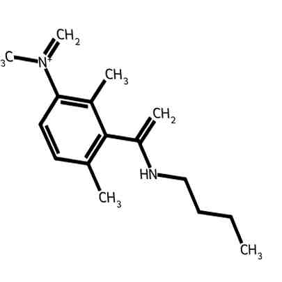 C=C(NCCCC)c1c(C)ccc([N+](=C)C)c1C